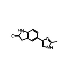 Cc1nc(-c2ccc3c(c2)CC(=O)N3)c[nH]1